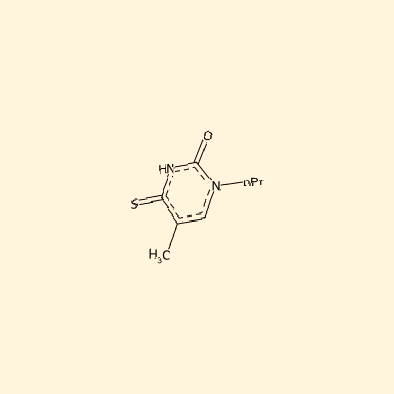 CCCn1cc(C)c(=S)[nH]c1=O